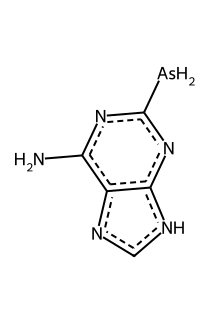 Nc1nc([AsH2])nc2[nH]cnc12